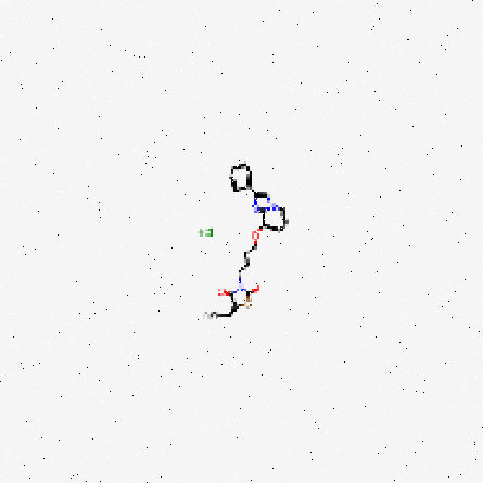 CCC/C=C1/SC(=O)N(CCCCOc2cccn3cc(-c4ccccc4)nc23)C1=O.Cl